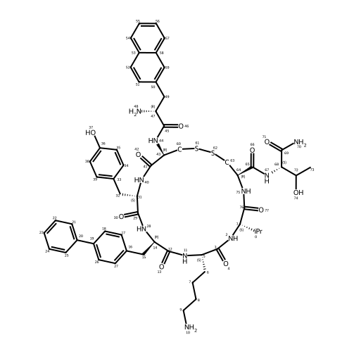 CC(C)[C@@H]1NC(=O)[C@H](CCCCN)NC(=O)[C@@H](Cc2ccc(-c3ccccc3)cc2)NC(=O)[C@H](Cc2ccc(O)cc2)NC(=O)[C@@H](NC(=O)[C@H](N)Cc2ccc3ccccc3c2)CSSC[C@@H](C(=O)N[C@H](C(N)=O)C(C)O)NC1=O